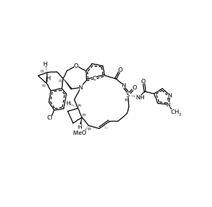 CO[C@H]1/C=C/CCC[S@@](=O)(NC(=O)c2cnn(C)c2)=NC(=O)c2ccc3c(c2)N(C[C@@H]2CC[C@H]21)C[C@]1(CO3)C[C@@H]2C[C@@H]2c2cc(Cl)ccc21